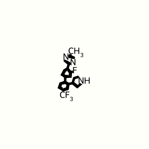 Cc1cnc(-c2ccc(-c3ccc(C(F)(F)F)cc3C3=CCNCC3)cc2F)cn1